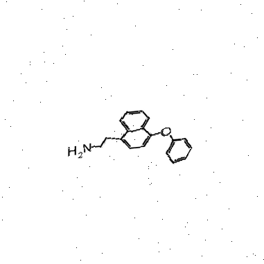 NCCc1ccc(Oc2ccccc2)c2ccccc12